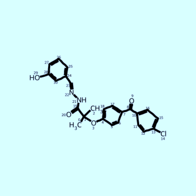 CC(C)(Oc1ccc(C(=O)c2ccc(Cl)cc2)cc1)C(=O)N/N=C/c1cccc(O)c1